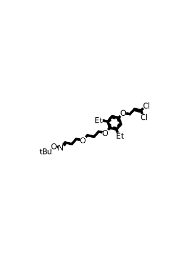 CCc1cc(OCC=C(Cl)Cl)cc(CC)c1OCCCOCCC=NOC(C)(C)C